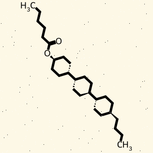 CCCCCC(=O)O[C@H]1CC[C@H]([C@H]2CC[C@H]([C@H]3CC[C@H](CCCC)CC3)CC2)CC1